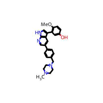 COc1ccc(O)cc1-c1c[nH]c2ncc(-c3ccc(CN4CCN(C)CC4)cc3)cc12